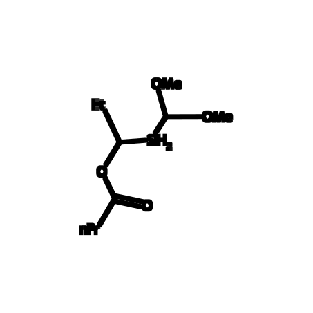 CCCC(=O)OC(CC)[SiH2]C(OC)OC